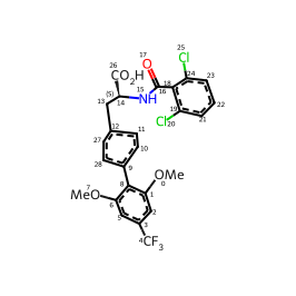 COc1cc(C(F)(F)F)cc(OC)c1-c1ccc(C[C@H](NC(=O)c2c(Cl)cccc2Cl)C(=O)O)cc1